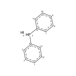 I.c1ccc(Pc2ccccc2)cc1